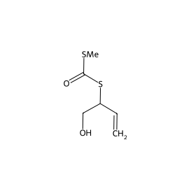 C=CC(CO)SC(=O)SC